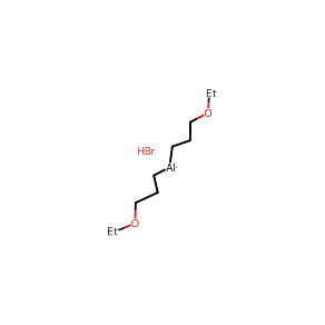 Br.CCOCC[CH2][Al][CH2]CCOCC